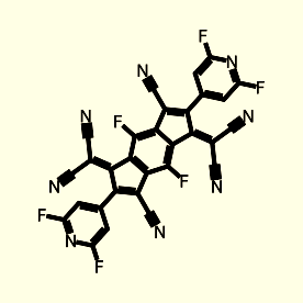 N#CC(C#N)=C1C(c2cc(F)nc(F)c2)=C(C#N)c2c(F)c3c(c(F)c21)C(C#N)=C(c1cc(F)nc(F)c1)C3=C(C#N)C#N